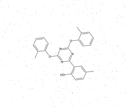 Cc1ccc(O)c(-c2nc(Oc3ccccc3C)nc(Oc3ccccc3C)n2)c1